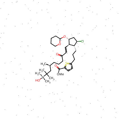 COC(=O)c1ccc(CCC[C@@H]2[C@@H](/C=C/C(=O)CCC[C@H](C)CC(C)(C)[Si](C)(C)O)[C@H](OC3CCCCO3)C[C@H]2Cl)s1